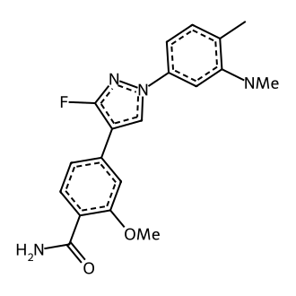 CNc1cc(-n2cc(-c3ccc(C(N)=O)c(OC)c3)c(F)n2)ccc1C